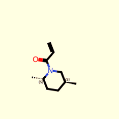 C=CC(=O)N1C[C@@H](C)CC[C@@H]1C